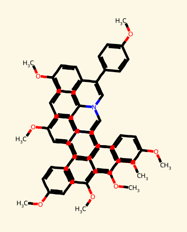 COc1ccc(C(=CN(C=C(c2ccc(OC)cc2)c2ccc(OC)cc2)c2ccccc2N(C=C(c2ccc(OC)cc2)c2ccc(OC)cc2)/C=C(/c2ccc(OC)cc2)c2cccc(OC)c2)c2ccc(OC)cc2)cc1